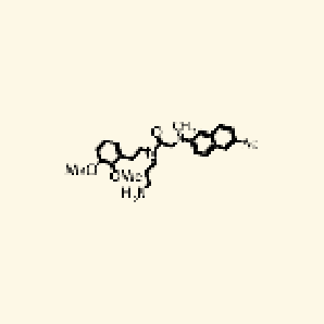 COc1cccc(CCN(CCCN)C(=O)CN(C)c2ccc3cc(C(C)=O)ccc3c2)c1OC